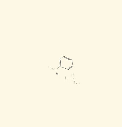 O.O.O=S([O-])c1ccccc1.[Na+]